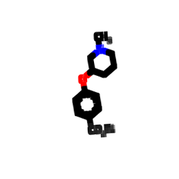 CCOC(=O)c1ccc(OC2CCCN(C)C2)cc1